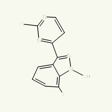 Cn1nc(-c2ccnc(Cl)n2)c2cccc(F)c21